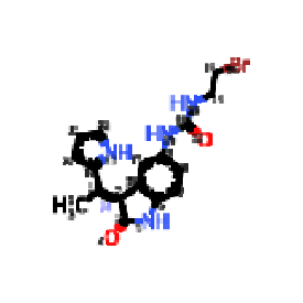 C/C(=C1\C(=O)Nc2ccc(NC(=O)NCCBr)cc21)c1ccc[nH]1